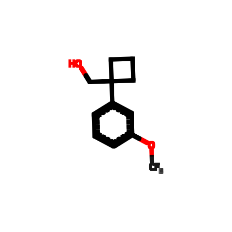 OCC1(c2cccc(OC(F)(F)F)c2)CCC1